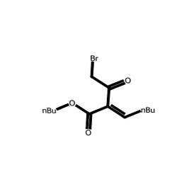 CCCC/C=C(\C(=O)CBr)C(=O)OCCCC